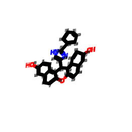 Oc1ccc2c3c(ccc2c1)Oc1ccc2cc(O)ccc2c1C3c1c[nH]c(-c2ccccc2)n1